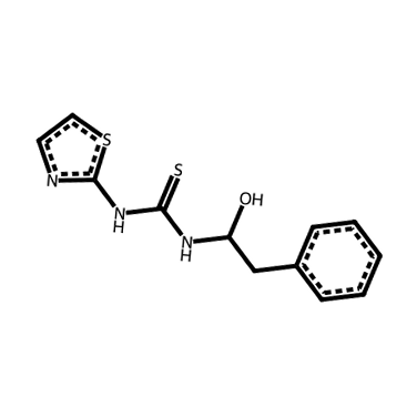 OC(Cc1ccccc1)NC(=S)Nc1nccs1